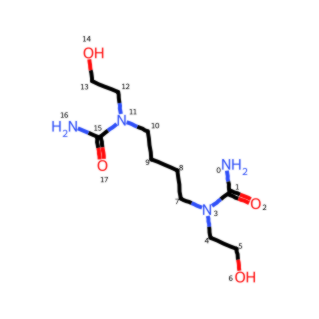 NC(=O)N(CCO)CCCCN(CCO)C(N)=O